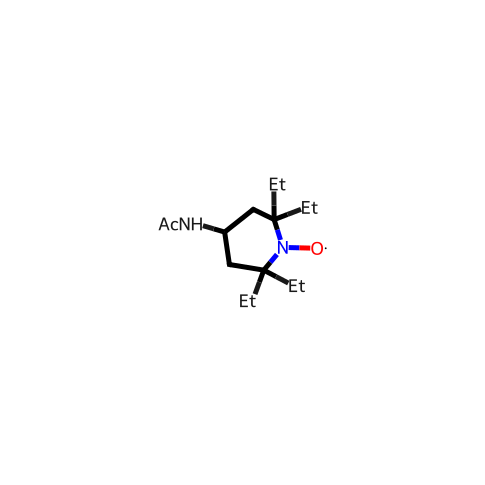 CCC1(CC)CC(NC(C)=O)CC(CC)(CC)N1[O]